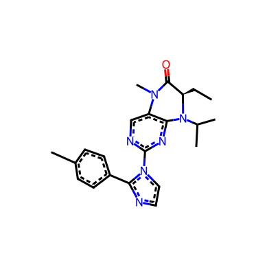 CC[C@@H]1C(=O)N(C)c2cnc(-n3ccnc3-c3ccc(C)cc3)nc2N1C(C)C